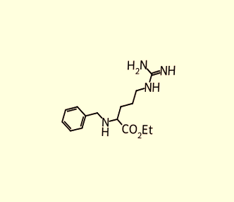 CCOC(=O)C(CCCNC(=N)N)NCc1ccccc1